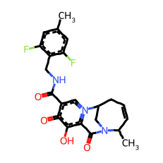 Cc1cc(F)c(CNC(=O)c2cn3c(c(O)c2=O)C(=O)N2CC3CC=CC2C)c(F)c1